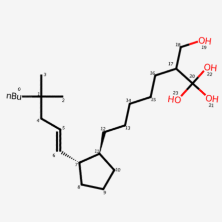 CCCCC(C)(C)C/C=C/[C@H]1CCC[C@@H]1CCCCCC(CO)C(O)(O)O